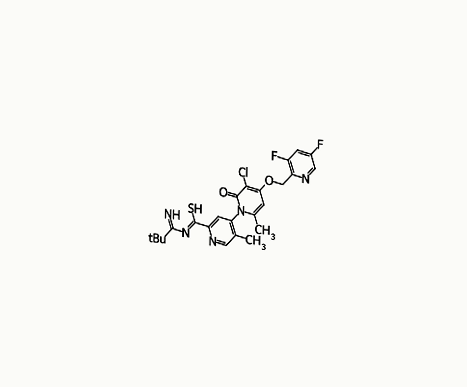 Cc1cnc(/C(S)=N/C(=N)C(C)(C)C)cc1-n1c(C)cc(OCc2ncc(F)cc2F)c(Cl)c1=O